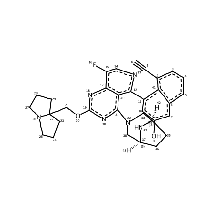 C#Cc1cccc2cc(O)cc(-c3ncc(F)c4nc(OCC56CCCN5CCC6)nc(N5C[C@H]6CC[C@@H](C5)N6)c34)c12